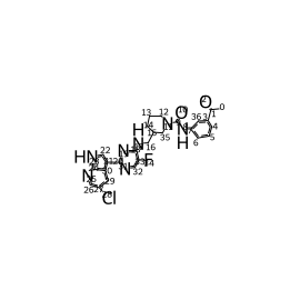 CC(=O)c1cccc(NC(=O)N2CCCC(CNc3nc(-c4c[nH]c5ncc(Cl)cc45)ncc3F)C2)c1